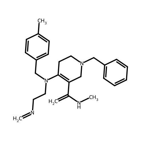 C=NCCN(Cc1ccc(C)cc1)C1=C(C(=C)NC)CN(Cc2ccccc2)CC1